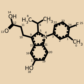 Cc1cc(-n2c(C(C)C)c(CCC(=O)O)c3cc(O)ccc32)ccc1F